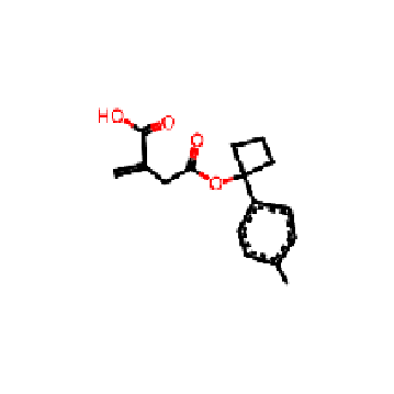 C=C(CC(=O)OC1(c2ccc(C)cc2)CCC1)C(=O)O